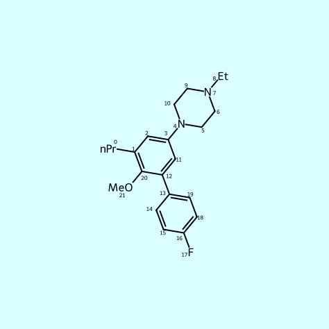 CCCc1cc(N2CCN(CC)CC2)cc(-c2ccc(F)cc2)c1OC